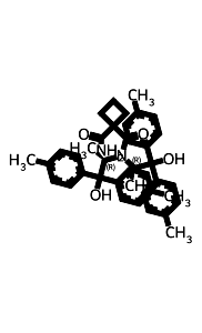 Cc1ccc(C(O)(c2ccc(C)cc2)[C@@H](C)N(C(=O)C2(C(N)=O)CCC2)[C@H](C)C(O)(c2ccc(C)cc2)c2ccc(C)cc2)cc1